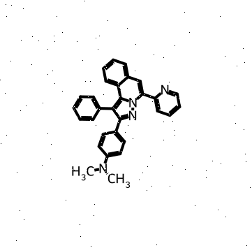 CN(C)c1ccc(-c2nn3c(-c4ccccn4)cc4ccccc4c3c2-c2ccccc2)cc1